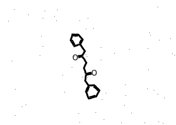 O=C(CCC(=O)Cc1ccccc1)Cc1ccccc1